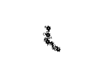 CC(OC(Cc1ccccn1)=S(=O)=O)c1nc(-c2cc3c(Nc4ccc(OCc5cccc(F)c5)c(Cl)c4)ncnc3cc2F)cs1